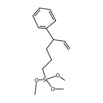 C=CC(CCC[Si](OC)(OC)OC)c1ccccc1